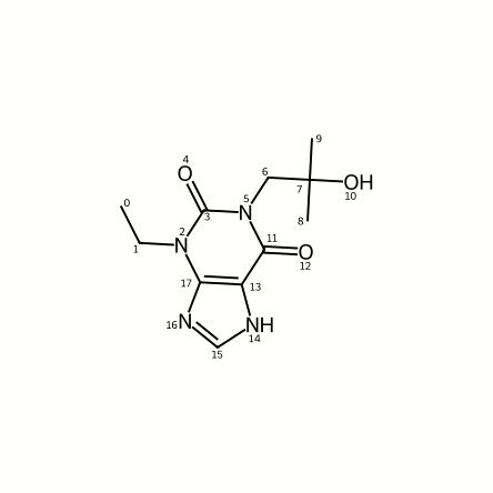 CCn1c(=O)n(CC(C)(C)O)c(=O)c2[nH]cnc21